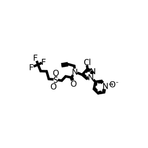 C#CCN(C(=O)CCS(=O)(=O)CCCC(F)(F)F)c1cn(-c2ccc[n+]([O-])c2)nc1Cl